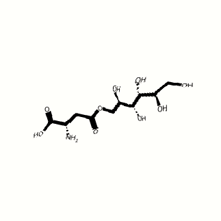 N[C@@H](CC(=O)OC[C@@H](O)[C@@H](O)[C@H](O)[C@H](O)CO)C(=O)O